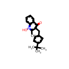 Cc1c(Cc2ccc(C(C)(C)C)cc2)c(=O)c2ccccc2n1O